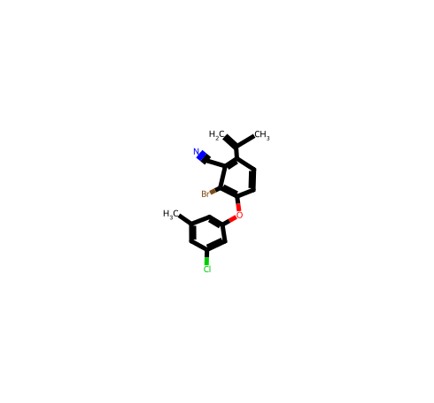 C=C(C)c1ccc(Oc2cc(C)cc(Cl)c2)c(Br)c1C#N